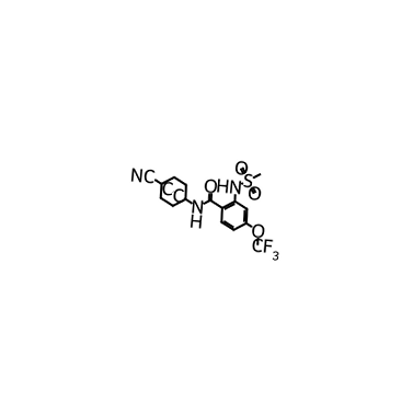 CS(=O)(=O)Nc1cc(OC(F)(F)F)ccc1C(=O)NC12CCC(C#N)(CC1)CC2